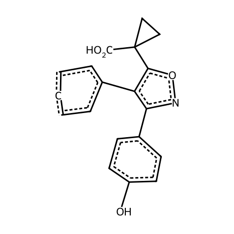 O=C(O)C1(c2onc(-c3ccc(O)cc3)c2-c2ccccc2)CC1